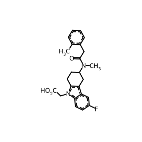 Cc1ccccc1CC(=O)N(C)C1CCc2c(c3cc(F)ccc3n2CC(=O)O)C1